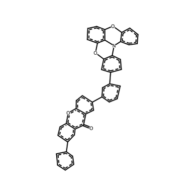 O=c1c2cc(-c3ccccc3)ccc2oc2ccc(-c3cccc(-c4ccc5c(c4)Oc4cccc6c4N5c4ccccc4O6)c3)cc12